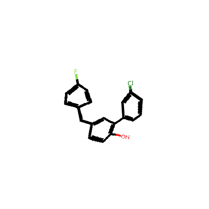 Oc1ccc(Cc2ccc(F)cc2)cc1-c1cccc(Cl)c1